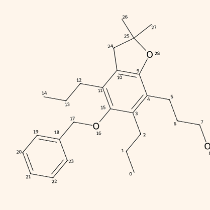 CCCc1c(CCCO)c2c(c(CCC)c1OCc1ccccc1)CC(C)(C)O2